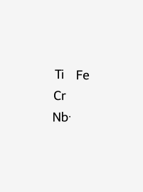 [Cr].[Fe].[Nb].[Ti]